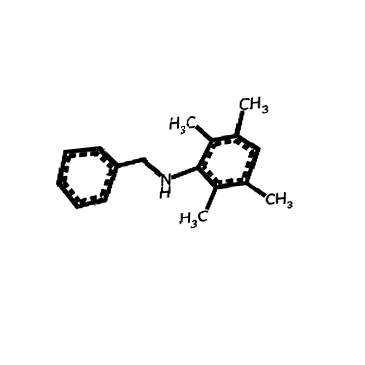 Cc1cc(C)c(C)c(NCc2ccccc2)c1C